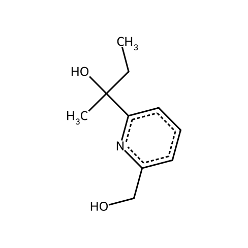 CCC(C)(O)c1cccc(CO)n1